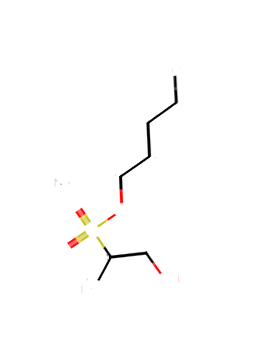 CCCCCCCCCCCCOS(=O)(=O)C(C)CO.[Na]